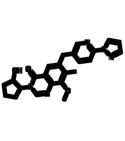 COc1c(C)c(Cc2ccc(-n3cccn3)nc2)cc2c(=O)n(C3CCCC3O)cnc12